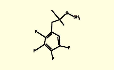 CC(C)(Cc1cc(F)c(F)c(F)c1F)O[SiH3]